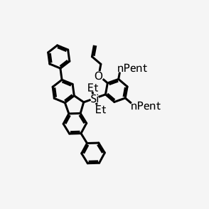 C=CCOc1c(CCCCC)cc(CCCCC)cc1[Si](CC)(CC)C1c2cc(-c3ccccc3)ccc2-c2ccc(-c3ccccc3)cc21